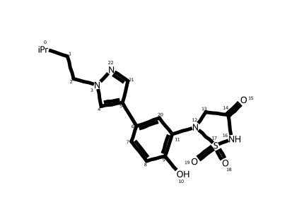 CC(C)CCn1cc(-c2ccc(O)c(N3CC(=O)NS3(=O)=O)c2)cn1